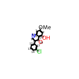 COc1cc(O)c2c(c1)N=CC(c1cccc(Cl)c1)C2=O